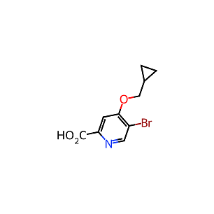 O=C(O)c1cc(OCC2CC2)c(Br)cn1